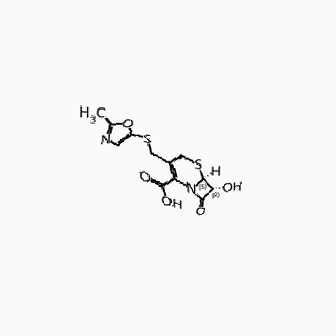 Cc1ncc(SCC2=C(C(=O)O)N3C(=O)[C@@H](O)[C@@H]3SC2)o1